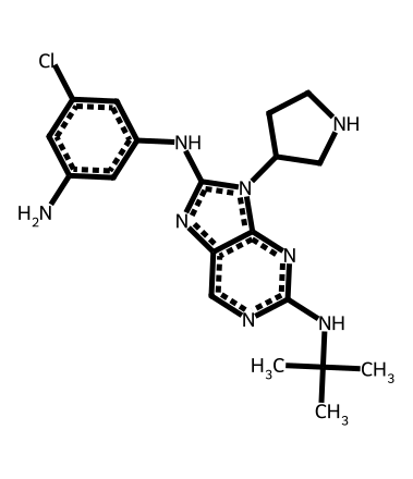 CC(C)(C)Nc1ncc2nc(Nc3cc(N)cc(Cl)c3)n(C3CCNC3)c2n1